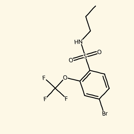 CCCNS(=O)(=O)c1ccc(Br)cc1OC(F)(F)F